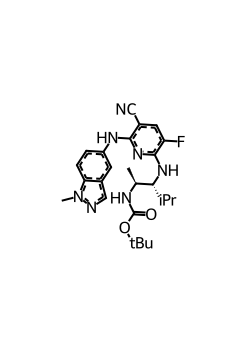 CC(C)[C@@H](Nc1nc(Nc2ccc3c(cnn3C)c2)c(C#N)cc1F)[C@H](C)NC(=O)OC(C)(C)C